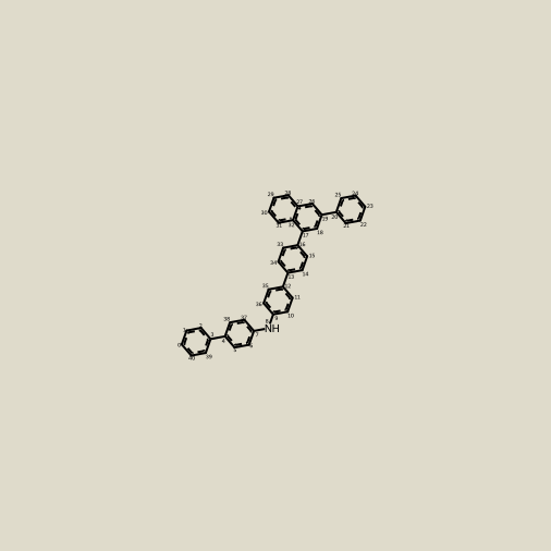 c1ccc(-c2ccc(Nc3ccc(-c4ccc(-c5cc(-c6ccccc6)cc6ccccc56)cc4)cc3)cc2)cc1